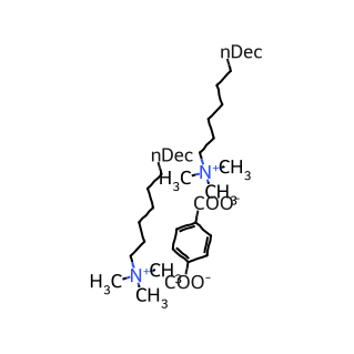 CCCCCCCCCCCCCCCC[N+](C)(C)C.CCCCCCCCCCCCCCCC[N+](C)(C)C.O=C([O-])c1ccc(C(=O)[O-])cc1